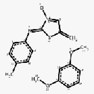 C=C1C=[N+]([O-])C(=Nc2ccc(C)cc2)S1.COc1cccc(OC)c1